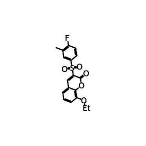 CCOc1cccc2cc(S(=O)(=O)c3ccc(F)c(C)c3)c(=O)oc12